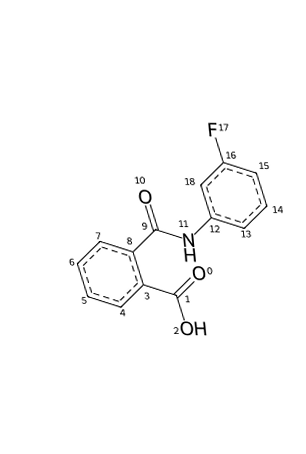 O=C(O)c1ccccc1C(=O)Nc1cccc(F)c1